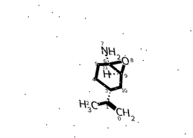 C=C(C)[C@@H]1CC[C@@]2(N)O[C@H]2C1